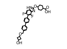 O=C(O)C1CCC(Oc2nc3c(F)c(-c4ccc(-c5ccc(COC6CC(O)C6)cc5)cc4)c(F)cc3[nH]2)CC1